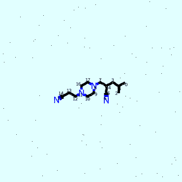 CC(C)CC(C#N)CN1CCN(CCC#N)CC1